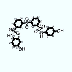 O=S(=O)(Nc1ccc(O)cc1)c1cccc(S(=O)(=O)c2cccc(S(=O)(=O)Nc3ccc(O)cc3)c2)c1